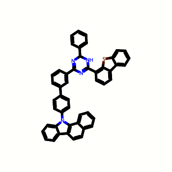 c1ccc(C2N=C(c3cccc(-c4ccc(-n5c6ccccc6c6ccc7ccccc7c65)cc4)c3)N=C(c3cccc4c3sc3ccccc34)N2)cc1